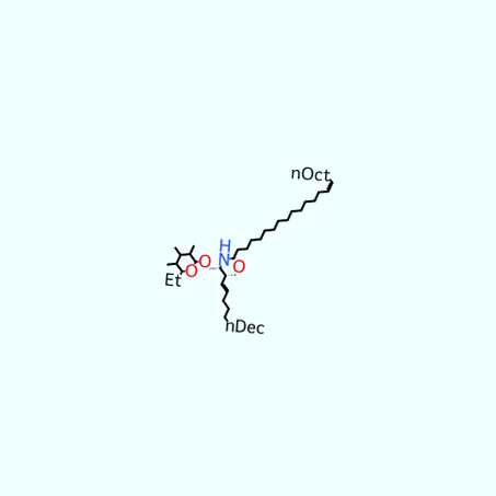 CCCCCCCC/C=C\CCCCCCCCCCCCCC(=O)N[C@@H](COC1OC(CC)C(C)C(C)C1C)[C@H](C)/C=C/CCCCCCCCCCCCC